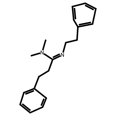 CN(C)/C(CCc1ccccc1)=N\CCc1ccccc1